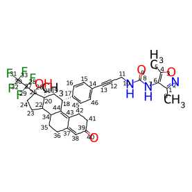 Cc1noc(C)c1NC(=O)NCC#Cc1ccc([C@H]2C[C@@]3(C)C(CC[C@@]3(O)C(F)(F)C(F)(F)F)C3CCC4=CC(=O)CCC4=C32)cc1